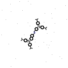 CC(C)c1ccc(N(c2ccc(/C=C/c3ccc4cc(N(c5ccc(C(C)C)cc5)c5ccc(C(C)C)cc5)ccc4c3)cc2)c2ccc(C(C)C)cc2)cc1